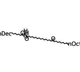 CCCCCCCCC=CCCCCCCCC(=O)CCCCCCCCCCCCCCC(=O)NCC(O)CCCCCCCCCCCCCCCC